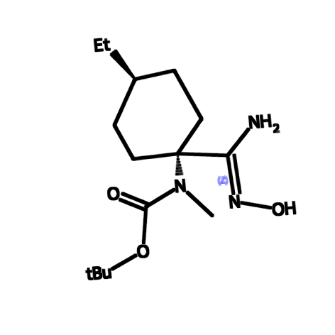 CC[C@H]1CC[C@](/C(N)=N/O)(N(C)C(=O)OC(C)(C)C)CC1